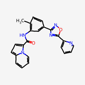 Cc1ccc(-c2noc(-c3ccccn3)n2)cc1NC(=O)c1ccc2ccccn12